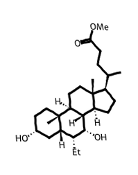 CC[C@H]1[C@@H](O)[C@@H]2[C@H](CC[C@]3(C)[C@@H](C(C)CCC(=O)OC)CC[C@@H]23)[C@@]2(C)CC[C@@H](O)C[C@@H]12